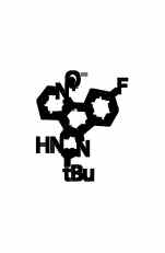 CC(C)(C)c1nc2c3ccc(F)cc3c3c(ccc[n+]3[O-])c2[nH]1